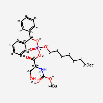 CCCCCCCCCCCCCCCCOP(=O)(OC(=O)[C@H](CO)NC(=O)OC(C)(C)C)OC(c1ccccc1)c1ccccc1